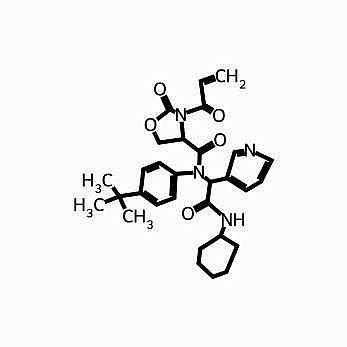 C=CC(=O)N1C(=O)OCC1C(=O)N(c1ccc(C(C)(C)C)cc1)C(C(=O)NC1CCCCC1)c1cccnc1